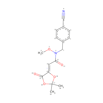 CON(Cc1ccc(C#N)cc1)C(=O)/C=C1\OC(C)(C)OC1=O